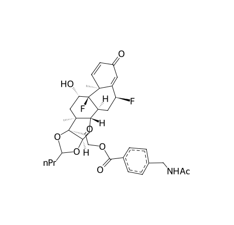 CCCC1O[C@@H]2C[C@H]3[C@@H]4C[C@H](F)C5=CC(=O)C=C[C@]5(C)[C@@]4(F)[C@@H](O)C[C@]3(C)[C@]2(C(=O)COC(=O)c2ccc(CNC(C)=O)cc2)O1